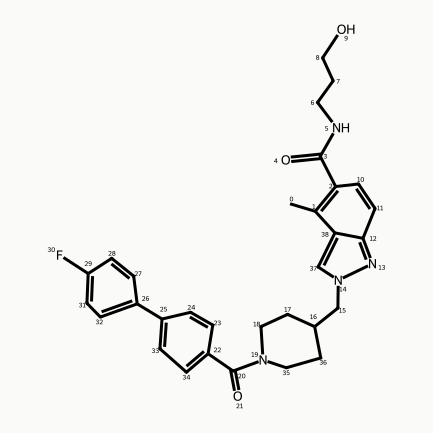 Cc1c(C(=O)NCCCO)ccc2nn(CC3CCN(C(=O)c4ccc(-c5ccc(F)cc5)cc4)CC3)cc12